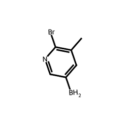 Bc1cnc(Br)c(C)c1